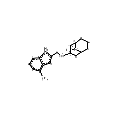 Cc1cccc2[nH]c(CNC3CC4CCCC(C3)N4C)cc12